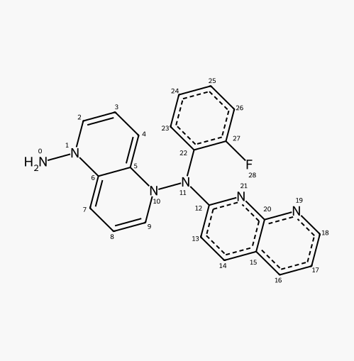 NN1C=CC=C2C1=CC=CN2N(c1ccc2cccnc2n1)c1ccccc1F